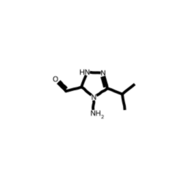 CC(C)C1=NNC(C=O)N1N